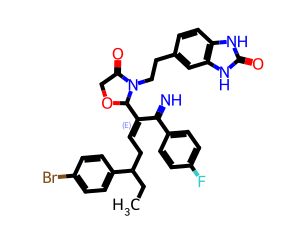 CCC(C/C=C(\C(=N)c1ccc(F)cc1)C1OCC(=O)N1CCc1ccc2[nH]c(=O)[nH]c2c1)c1ccc(Br)cc1